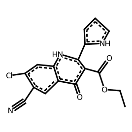 CCOC(=O)c1c(-c2ccc[nH]2)[nH]c2cc(Cl)c(C#N)cc2c1=O